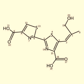 CC(=Cc1sc(-c2nc(C(=O)O)cs2)nc1C(=O)O)CO